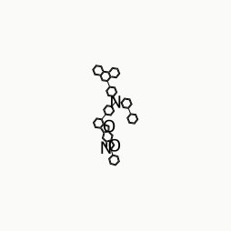 c1ccc(-c2cccc(N(c3ccc(-c4cc5ccccc5c5ccccc45)cc3)c3ccc(-c4cccc5c4oc4cc6oc(-c7ccccc7)nc6cc45)cc3)c2)cc1